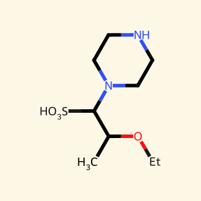 CCOC(C)C(N1CCNCC1)S(=O)(=O)O